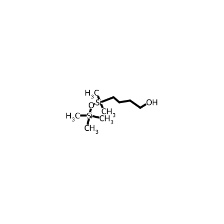 C[Si](C)(C)O[Si](C)(C)CCCCO